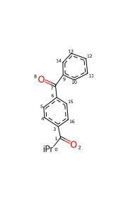 CC(C)C(=O)c1ccc(C(=O)c2ccccc2)cc1